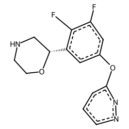 Fc1cc(Oc2cccnn2)cc([C@H]2CNCCO2)c1F